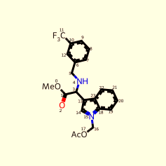 COC(=O)C(NCc1cccc(C(F)(F)F)c1)c1cn(COC(C)=O)c2ccccc12